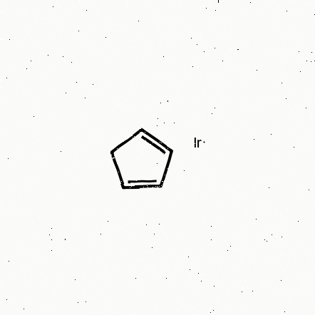 C1=CCC=C1.[Ir]